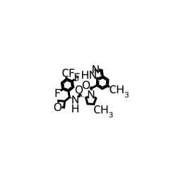 Cc1cc(C(=O)N2C[C@H](C)C[C@@H]2C(=O)N[C@@H](c2cc(F)c(C(F)(F)F)cc2F)C2COC2)c2[nH]ncc2c1